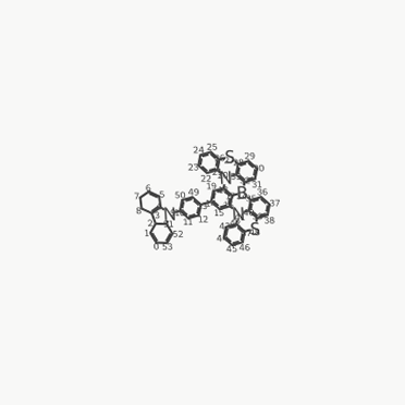 C1=CC2C3=C(C=CCC3)N(c3ccc(-c4cc5c6c(c4)N4c7ccccc7Sc7cccc(c74)B6c4cccc6c4N5c4ccccc4S6)cc3)C2C=C1